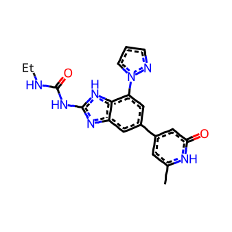 CCNC(=O)Nc1nc2cc(-c3cc(C)[nH]c(=O)c3)cc(-n3cccn3)c2[nH]1